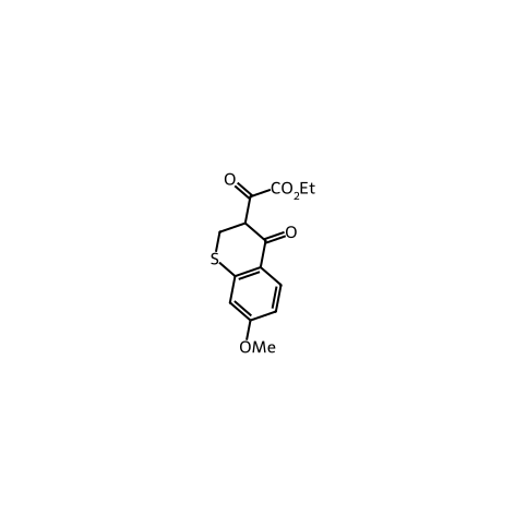 CCOC(=O)C(=O)C1CSc2cc(OC)ccc2C1=O